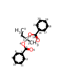 CC[Si](C)(OC(=O)c1ccccc1)OC(=O)c1ccccc1